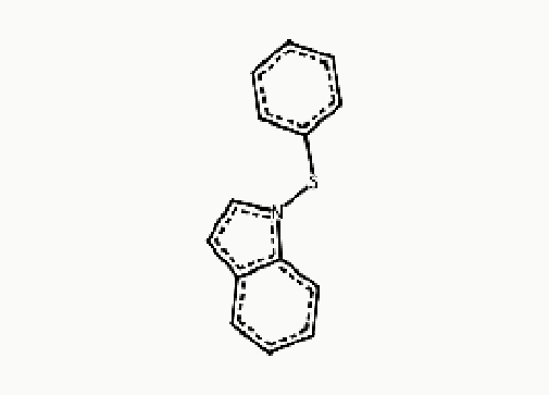 c1ccc(Sn2ccc3ccccc32)cc1